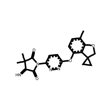 Cc1ccc(Oc2ccc(N3C(=O)C(=N)C(C)(C)C3=O)nn2)c2c1OCC21CC1